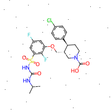 CC(C)NC(=O)NS(=O)(=O)c1cc(F)cc(OC[C@H]2CN(C(=O)O)CC[C@@H]2c2ccc(Cl)cc2)c1F